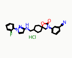 Cl.N#Cc1cccc(N2CC3(CCC(CNc4ccn(-c5ccccc5F)n4)CC3)OC2=O)c1